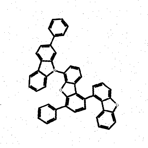 c1ccc(-c2ccc3c4ccccc4n(-c4cccc5c4oc4c(-c6ccccc6)ccc(-c6cccc7oc8ccccc8c67)c45)c3c2)cc1